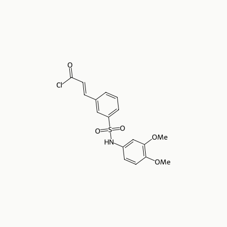 COc1ccc(NS(=O)(=O)c2cccc(C=CC(=O)Cl)c2)cc1OC